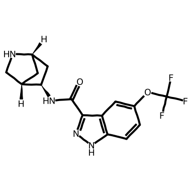 O=C(N[C@@H]1C[C@@H]2C[C@H]1CN2)c1n[nH]c2ccc(OC(F)(F)F)cc12